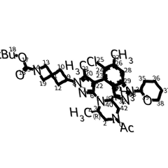 CC(=O)N1C[C@@H](C)N(c2nn(C3CC4(C3)CN(C(=O)OC(C)(C)C)C4)c(C)c2-c2c(Cl)c(C)cc3c2cnn3C2CCCCO2)[C@@H](C)C1